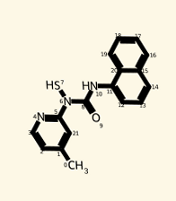 Cc1ccnc(N(S)C(=O)Nc2cccc3ccccc23)c1